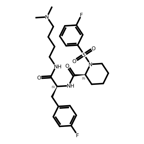 CN(C)CCCCNC(=O)[C@H](Cc1ccc(F)cc1)NC(=O)[C@@H]1CCCCN1S(=O)(=O)c1cccc(F)c1